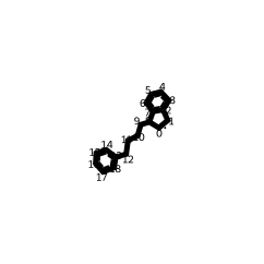 [CH]1Cc2ccccc2C1CCCCc1ccccc1